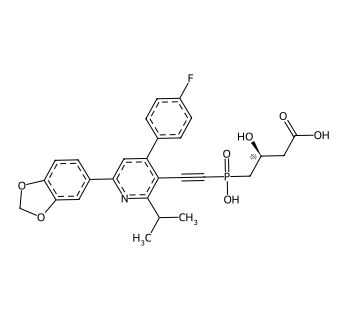 CC(C)c1nc(-c2ccc3c(c2)OCO3)cc(-c2ccc(F)cc2)c1C#CP(=O)(O)C[C@@H](O)CC(=O)O